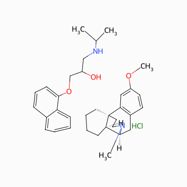 CC(C)NCC(O)COc1cccc2ccccc12.COc1ccc2c(c1)[C@]13CCCC[C@@H]1[C@H](C2)N(C)CC3.Cl